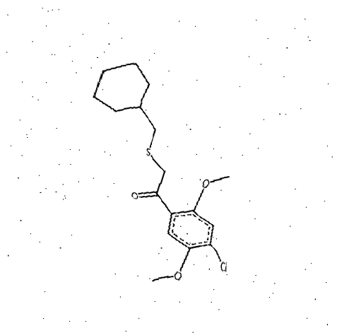 COc1cc(C(=O)CSCC2CCCCC2)c(OC)cc1Cl